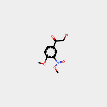 COc1ccc(C(=O)CBr)cc1[N+](=O)OC